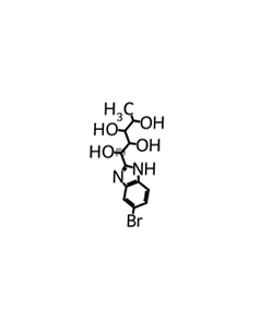 CC(O)C(O)C(O)[C@H](O)c1nc2cc(Br)ccc2[nH]1